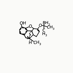 BC(C)(C)OC1=CCC2[C@H]3Cc4ccc(O)c5c4[C@@]2(CCN3C)C1O5